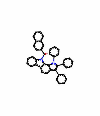 O=C(c1ccc2ccccc2c1)n1c2ccccc2c2ccc3c(-c4ccccc4)c(-c4ccccc4)n(-c4ccccc4)c3c21